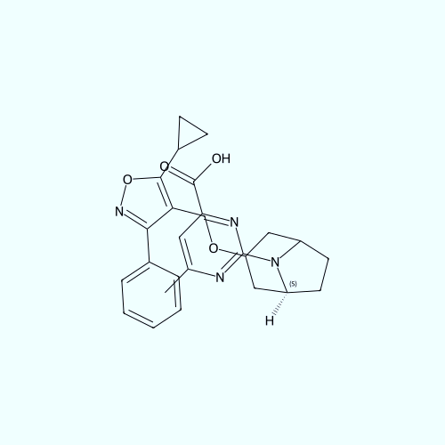 Cc1cc(C(=O)O)nc(N2C3CC[C@H]2CC(OCc2c(-c4ccccc4)noc2C2CC2)C3)n1